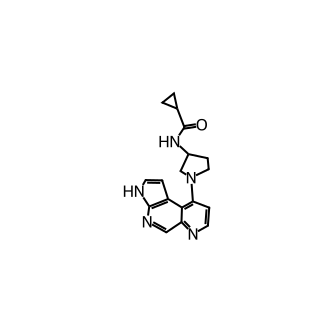 O=C(NC1CCN(c2ccnc3cnc4[nH]ccc4c23)C1)C1CC1